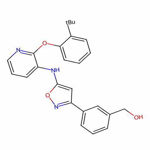 CC(C)(C)c1ccccc1Oc1ncccc1Nc1cc(-c2cccc(CO)c2)no1